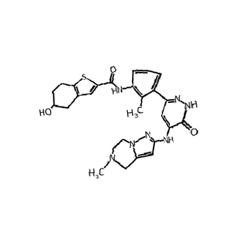 Cc1c(NC(=O)c2cc3c(s2)CCC(O)C3)cccc1-c1cc(Nc2cc3n(n2)CCN(C)C3)c(=O)[nH]n1